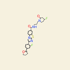 O=C(NCCCN1CCC(F)CC1=O)c1ccc2c(c1)sc1nc(-c3ccc([C@H]4CCCO4)cc3F)cn12